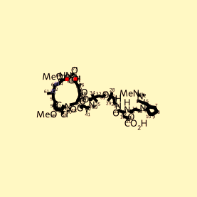 CNN(C)Cc1cc2ccccc2n1CCC(=O)N[C@@H](CCC(=O)O)C(=O)NCCC(C)(C)OCCC(C)(C)C(=O)N(C)[C@@H](C)C(=O)O[C@H]1CC(=O)N(C)c2cc(cc(OC)c2Cl)C/C(C)=C/C=C/[C@@H](OC)[C@@]2(O)C[C@H](OC(=O)N2)[C@@H](C)C2O[C@]21C